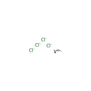 [Cl-].[Cl-].[Cl-].[Cl-].[V+4]